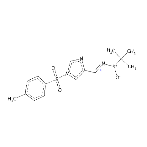 Cc1ccc(S(=O)(=O)n2cnc(/C=N/[S+]([O-])C(C)(C)C)c2)cc1